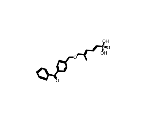 C/C(=C\C=C\P(=O)(O)O)COCc1ccc(C(=O)c2ccccc2)cc1